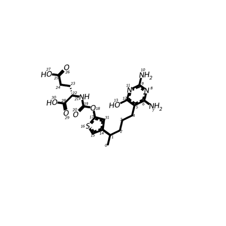 CC(CCCc1c(N)nc(N)nc1O)c1csc(OC(=O)N[C@@H](CCC(=O)O)C(=O)O)c1